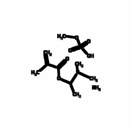 C=C(C)C(=O)OC(C)N(C)C.COS(=O)(=O)O.N